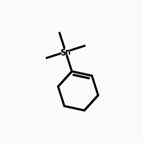 [CH3][Sn]([CH3])([CH3])[C]1=CCCCC1